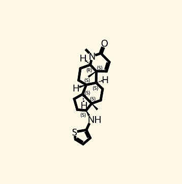 CN1C(=O)C=C[C@]2(C)[C@H]3CC[C@]4(C)[C@@H](Nc5cccs5)CC[C@H]4[C@@H]3CC[C@@H]12